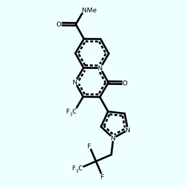 CNC(=O)c1ccn2c(=O)c(-c3cnn(CC(F)(F)C(F)(F)F)c3)c(C(F)(F)F)nc2c1